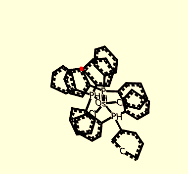 [Cl][Os]([Cl])([PH](c1ccccc1)(c1ccccc1)c1ccccc1)([PH](c1ccccc1)(c1ccccc1)c1ccccc1)[PH](c1ccccc1)(c1ccccc1)c1ccccc1